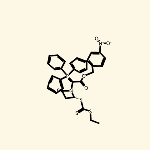 CCSC(=S)S[C@@H]1CC(=O)N1C(C(=O)OCc1ccc([N+](=O)[O-])cc1)=P(c1ccccc1)(c1ccccc1)c1ccccc1